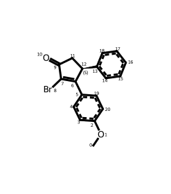 COc1ccc(C2=C(Br)C(=O)C[C@H]2c2ccccc2)cc1